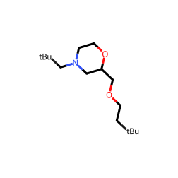 CC(C)(C)CCOCC1CN(CC(C)(C)C)CCO1